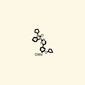 COc1ccc(-c2ccnc(-n3c(=O)n(C4CCCC4)c4ccccc43)n2)cc1OC1CCCC1